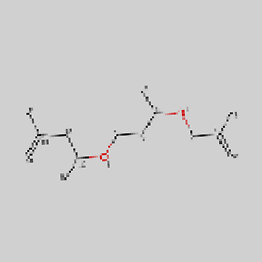 C=C(C)COC(C)CCOC(C)CC(=C)C